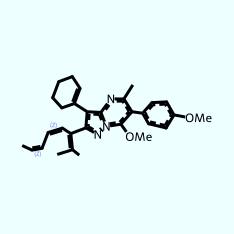 C/C=C\C=C/C(=C(C)C)c1nn2c(OC)c(-c3ccc(OC)cc3)c(C)nc2c1C1=CCCCC1